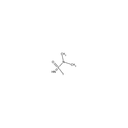 CN(C)S(=N)(=O)I